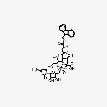 Nc1ccn([C@@H]2OC(COP(=O)(O)OC3(C(=O)O)CC(O)C(NC(=O)CNC(=O)OCC4c5ccccc5-c5ccccc54)C([C@H](O)[C@H](O)CO)O3)[C@@H](O)[C@H]2O)c(=O)n1